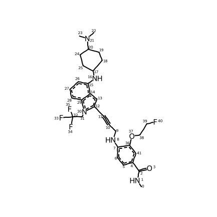 CNC(=O)c1ccc(NCC#Cc2cc3c(NC4CCC(N(C)C)CC4)cccc3n2CC(F)(F)F)c(OCCF)c1